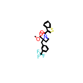 COC(=O)C1(Cc2cccc(C(F)(F)F)c2)CCN1C(=O)c1csc2ccccc12